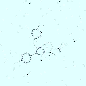 CC1(C)c2nc(-c3ccc(Br)cc3)c(Nc3ccc(F)cc3)n2CCN1C(=O)CN